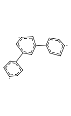 [c]1ccc(-c2c[c]cc(-c3cc[c]cc3)c2)cc1